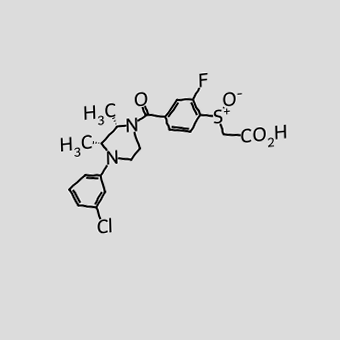 C[C@@H]1[C@H](C)N(C(=O)c2ccc([S+]([O-])CC(=O)O)c(F)c2)CCN1c1cccc(Cl)c1